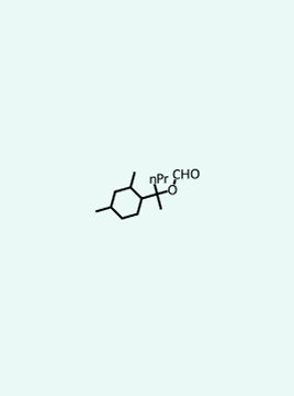 CCCC(C)(OC=O)C1CCC(C)CC1C